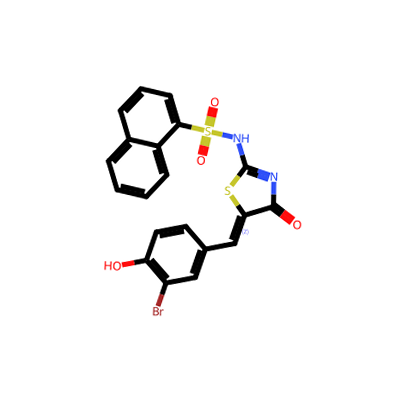 O=C1N=C(NS(=O)(=O)c2cccc3ccccc23)S/C1=C\c1ccc(O)c(Br)c1